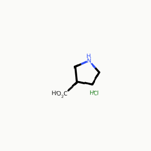 Cl.O=C(O)C1CCNC1